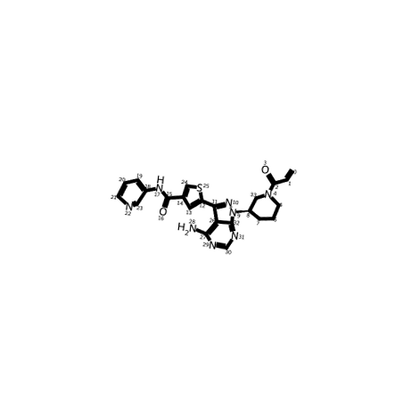 C=CC(=O)N1CCC[C@@H](n2nc(-c3cc(C(=O)Nc4cccnc4)cs3)c3c(N)ncnc32)C1